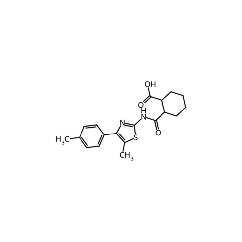 Cc1ccc(-c2nc(NC(=O)C3CCCCC3C(=O)O)sc2C)cc1